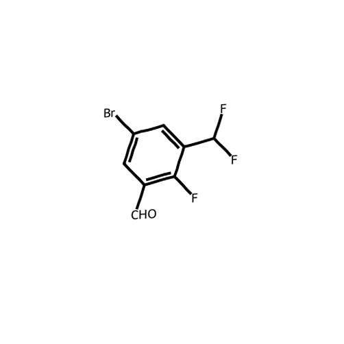 O=Cc1cc(Br)cc(C(F)F)c1F